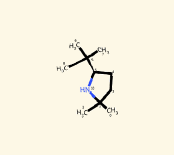 CC1(C)CC[C@H](C(C)(C)C)N1